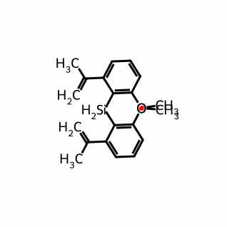 C=C(C)c1cccc(OC)c1[SiH2]c1c(OC)cccc1C(=C)C